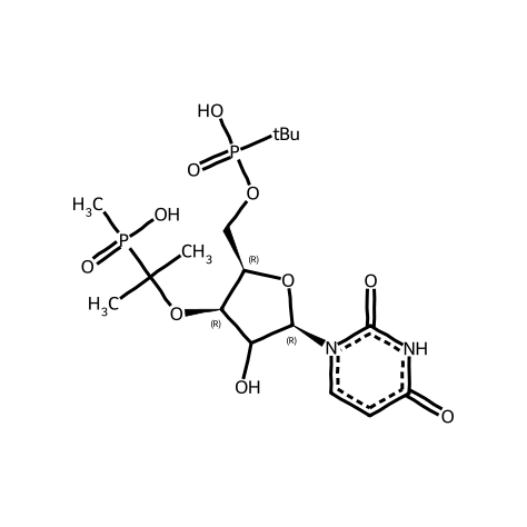 CC(C)(O[C@@H]1C(O)[C@H](n2ccc(=O)[nH]c2=O)O[C@@H]1COP(=O)(O)C(C)(C)C)P(C)(=O)O